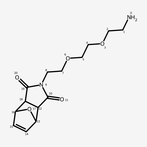 NCCOCCOCCN1C(=O)C2C3C=CC(O3)C2C1=O